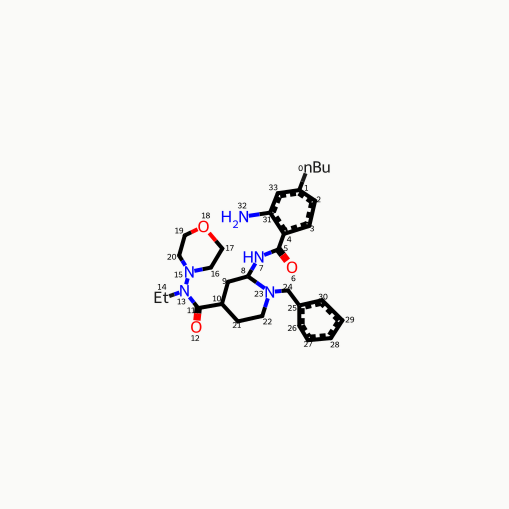 CCCCc1ccc(C(=O)NC2CC(C(=O)N(CC)N3CCOCC3)CCN2Cc2ccccc2)c(N)c1